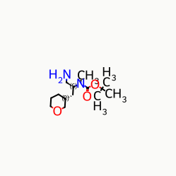 CN(C(=O)OC(C)(C)C)[C@H](CN)C[C@H]1CCCOC1